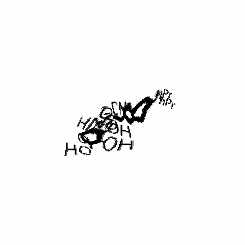 CCCN(CCC)c1ccc2cc(/C=C(\C#N)S(=O)(=O)N[C@H]3CO[C@H](CO)[C@@H](O)[C@@H]3O)ccc2c1